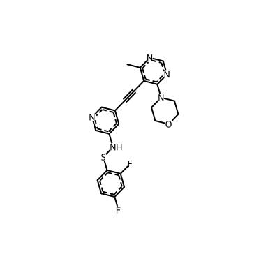 Cc1ncnc(N2CCOCC2)c1C#Cc1cncc(NSc2ccc(F)cc2F)c1